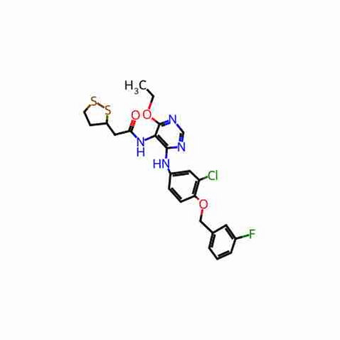 CCOc1ncnc(Nc2ccc(OCc3cccc(F)c3)c(Cl)c2)c1NC(=O)CC1CCSS1